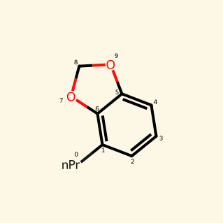 CCCc1cccc2c1OCO2